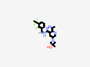 Cc1nnc(N[C@H](C)c2cccc(C(C)(F)F)c2F)c2cc(N3CC(C)(O)C3)cnc12